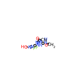 C=CC(=O)Nc1cccc(-n2c(C#N)cc(=O)c3cnc(Nc4ccc(N5CCN(CCO)CC5)c(F)c4F)nc32)c1